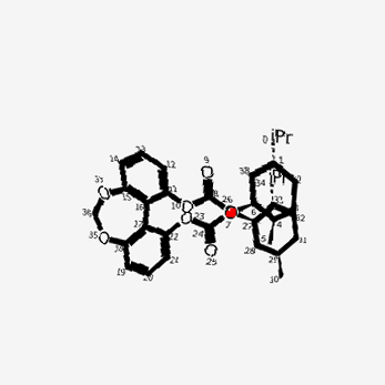 CC(C)[C@@H]1CC[C@@H](C)[C@@H](OC(=O)Oc2cccc3c2-c2c(cccc2OC(=O)O[C@@H]2C[C@H](C)CC[C@H]2C(C)C)OCO3)C1